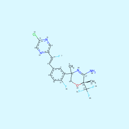 CC1(c2cc(/C=C(\F)c3cnc(Cl)cn3)ccc2F)CO[C@@](C)(C(F)(F)F)C(N)=N1